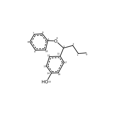 CCCC(Oc1ccccc1)c1ccc(O)cc1